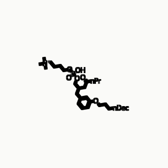 CCCCCCCCCCCCCOc1cccc(CC(COP(=O)(O)OCCCC[N+](C)(C)C)CC(=O)CCC)c1